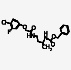 C=C(CCNC(=O)COc1ccc(Cl)c(F)c1)NC(=O)OCc1ccccc1